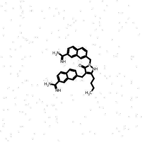 CCCCc1[nH]n(Cc2ccc3ccc(C(=N)N)cc3c2)c(=O)c1Cc1ccc2ccc(C(=N)N)cc2c1